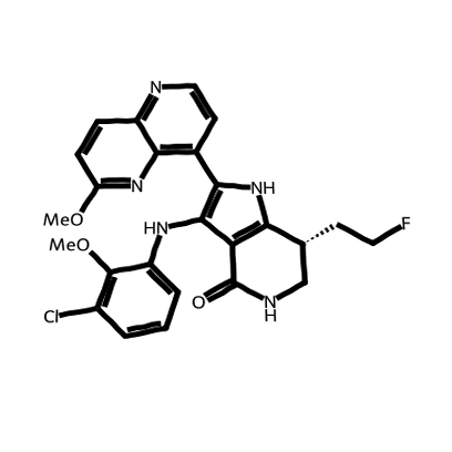 COc1ccc2nccc(-c3[nH]c4c(c3Nc3cccc(Cl)c3OC)C(=O)NC[C@H]4CCF)c2n1